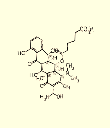 C[C@H]1c2cccc(O)c2C(=O)C2=C(O)[C@]3(O)C(=O)C(C(N)O)=C(O)[C@@H](N(C)C)[C@@H]3[C@@H](OC(=O)CCCCC(=O)O)[C@@H]21